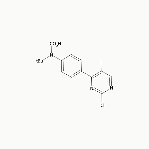 Cc1cnc(Cl)nc1-c1ccc(N(C(=O)O)C(C)(C)C)cc1